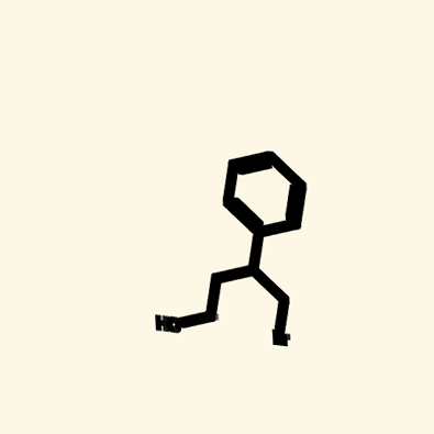 O[CH]CC(CBr)c1ccccc1